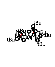 CC(C)(C)c1ccc2c(c1)c1cc(C(C)(C)C)ccc1n2-c1cccc(-c2cnc(-c3cccc(-n4c5ccc(C(C)(C)C)cc5c5cc(C(C)(C)C)ccc54)c3)c(-c3cccc(-n4c5ccc(C(C)(C)C)cc5c5cc(C(C)(C)C)ccc54)c3)c2-c2ccc(C#N)c(C#N)c2)c1